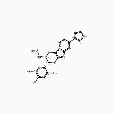 O=C(O)N[C@H]1Cc2c(nc3cc(-c4ncno4)ccn23)C[C@@H]1c1cc(F)c(F)cc1F